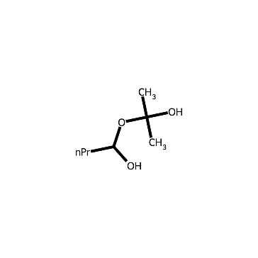 CCCC(O)OC(C)(C)O